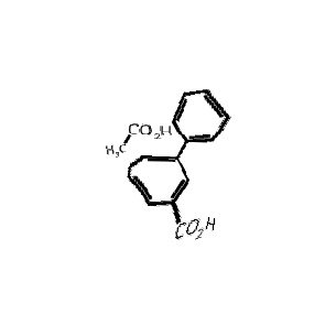 CC(=O)O.O=C(O)c1cccc(-c2ccccc2)c1